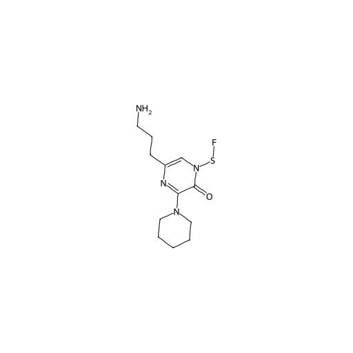 NCCCc1cn(SF)c(=O)c(N2CCCCC2)n1